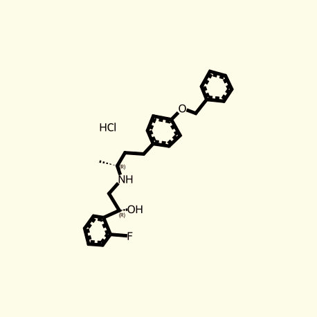 C[C@H](CCc1ccc(OCc2ccccc2)cc1)NC[C@H](O)c1ccccc1F.Cl